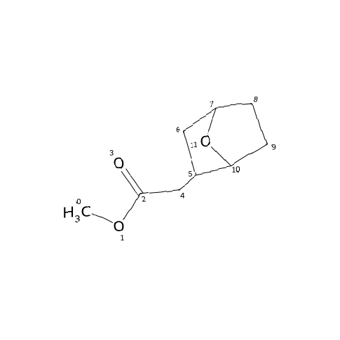 COC(=O)CC1CC2CCC1O2